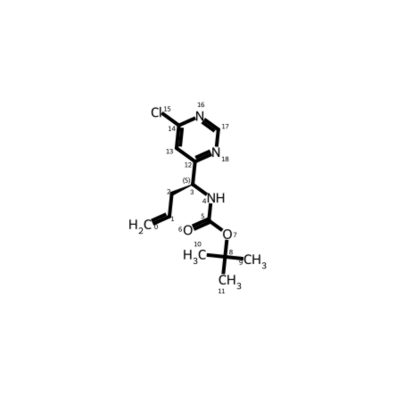 C=CC[C@H](NC(=O)OC(C)(C)C)c1cc(Cl)ncn1